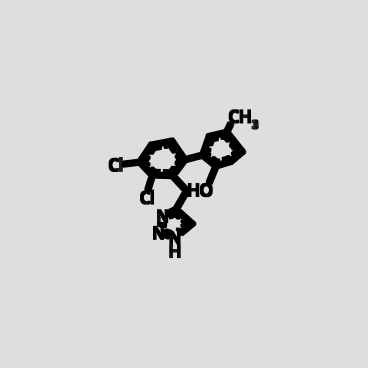 Cc1ccc(O)c(-c2ccc(Cl)c(Cl)c2Cc2c[nH]nn2)c1